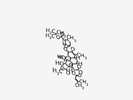 COC(=O)[C@@]12OC[C@]34C([C@@H](O)[C@@H]1O)[C@@]1(C)CC(=O)C(OC(=O)C[C@H](C)NC(=O)OC(C)(C)C)=C(C)[C@@H]1C[C@H]3OC(=O)[C@H](OC(=O)C=C(C)C)[C@@H]24